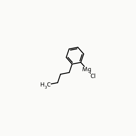 CCCCc1cccc[c]1[Mg][Cl]